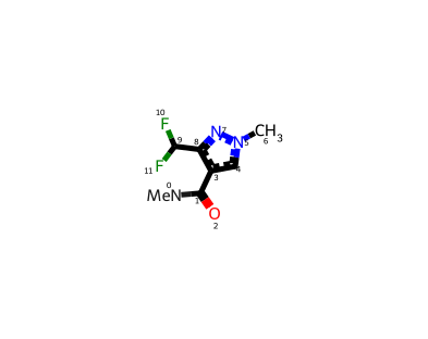 CNC(=O)c1cn(C)nc1C(F)F